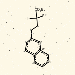 CCOC(=O)C(F)(F)CCc1ccc2ccccc2c1